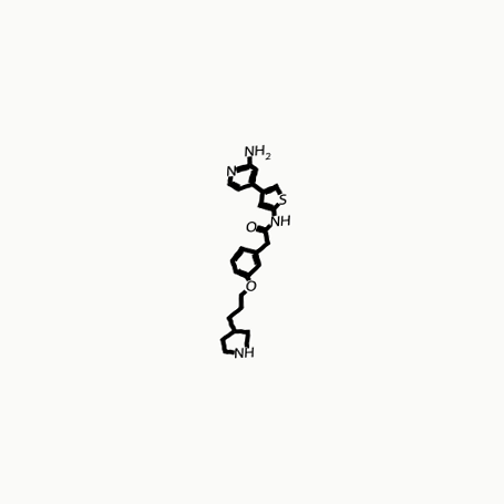 Nc1cc(-c2csc(NC(=O)Cc3cccc(OCCCC4CCNCC4)c3)c2)ccn1